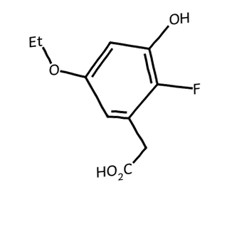 CCOc1cc(O)c(F)c(CC(=O)O)c1